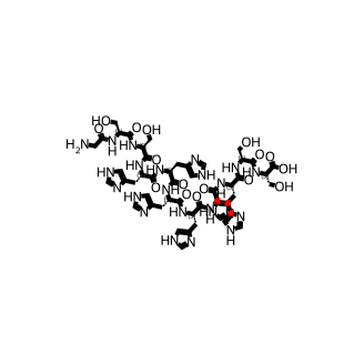 NCC(=O)N[C@@H](CO)C(=O)N[C@@H](CO)C(=O)N[C@@H](Cc1c[nH]cn1)C(=O)N[C@@H](Cc1c[nH]cn1)C(=O)N[C@@H](Cc1c[nH]cn1)C(=O)N[C@@H](Cc1c[nH]cn1)C(=O)N[C@@H](Cc1c[nH]cn1)C(=O)N[C@@H](Cc1c[nH]cn1)C(=O)N[C@@H](CO)C(=O)N[C@@H](CO)C(=O)O